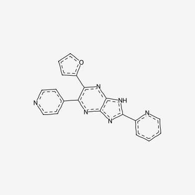 c1ccc(-c2nc3nc(-c4ccncc4)c(-c4ccco4)nc3[nH]2)nc1